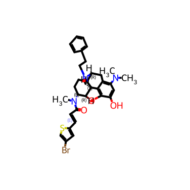 CN(C)c1cc(O)c2c3c1C[C@@H]1[C@@H]4CC[C@@H](N(C)C(=O)/C=C/c5cc(Br)cs5)[C@H](O2)[C@]34CCN1CCc1ccccc1